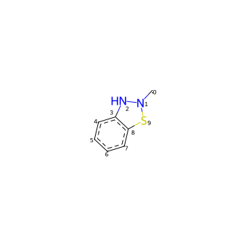 [CH2]N1Nc2ccccc2S1